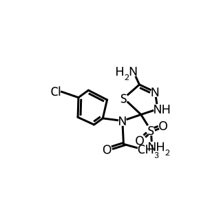 CC(=O)N(c1ccc(Cl)cc1)C1(S(N)(=O)=O)NN=C(N)S1